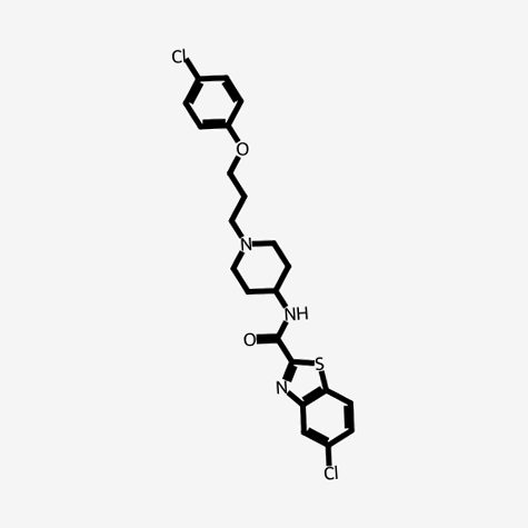 O=C(NC1CCN(CCCOc2ccc(Cl)cc2)CC1)c1nc2cc(Cl)ccc2s1